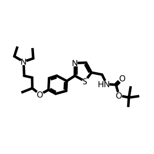 CCN(CC)CCC(C)Oc1ccc(-c2ncc(CNC(=O)OC(C)(C)C)s2)cc1